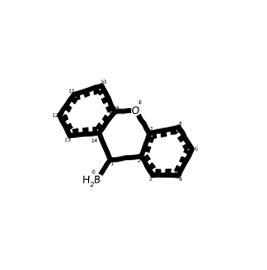 BC1c2ccccc2Oc2ccccc21